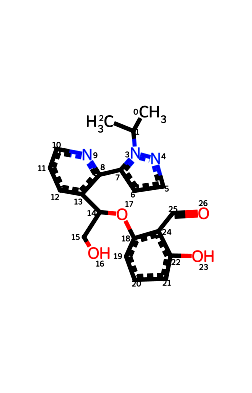 CC(C)n1nccc1-c1ncccc1C(CO)Oc1cccc(O)c1C=O